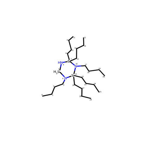 CCCCN1[SiH2]N[Si](CCCC)(CCCC)N(CCCC)[Si]1(CCCC)CCCC